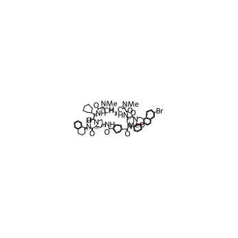 CN[C@@H](C)C(=O)N[C@H]1CN(C(=O)c2ccc(C(=O)N[C@H]3C[C@@H](C(=O)N[C@@H]4CCCc5ccccc54)N(C(=O)[C@@H](NC(=O)[C@H](C)NC)C4CCCCC4)C3)cc2)c2ccccc2N(Cc2c(OC)ccc3cc(Br)ccc23)C1=O